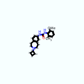 COc1cccc(C)c1NC(=O)Nc1ccc2c(c1)CCN(C1CCC1)CC2